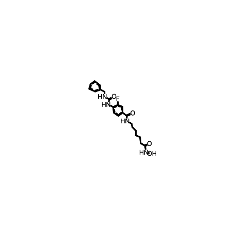 O=C(CCCCCCNC(=O)c1ccc(NC(=O)NCc2ccccc2)c(F)c1)NO